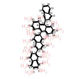 Bc1c(B)c(B)c2c(B)c(-c3c(B)c(B)c4c(B)c(-c5c6c(B)c(B)c(B)c(B)c6c(-c6ccc7ccccc7c6)c6c(B)c(B)c(B)c(B)c56)c(B)c(B)c4c3B)c(B)c(B)c2c1B